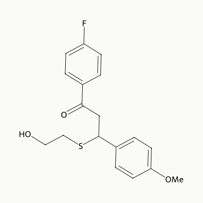 COc1ccc(C(CC(=O)c2ccc(F)cc2)SCCO)cc1